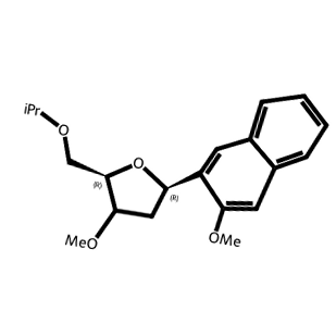 COc1cc2ccccc2cc1[C@H]1CC(OC)[C@@H](COC(C)C)O1